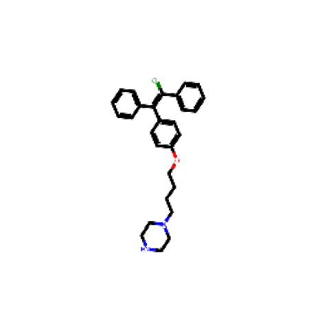 Cl/C(=C(\c1ccccc1)c1ccc(OCCCCN2CCNCC2)cc1)c1ccccc1